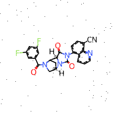 N#Cc1ccc(N2C(=O)[C@@H]3C4C[C@H](CN4C(=O)c4cc(F)cc(F)c4)N3C2=O)c2cccnc12